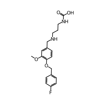 COc1cc(CNCCCNC(=O)O)ccc1OCc1ccc(F)cc1